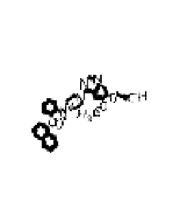 C#CCOc1cc2ncnc(N3CCN(N(C=O)c4ccccc4Oc4cccc5ccccc45)CC3)c2cc1OC